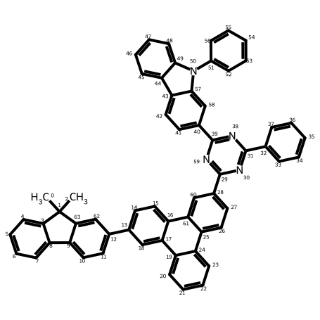 CC1(C)c2ccccc2-c2ccc(-c3ccc4c(c3)c3ccccc3c3ccc(-c5nc(-c6ccccc6)nc(-c6ccc7c8ccccc8n(-c8ccccc8)c7c6)n5)cc34)cc21